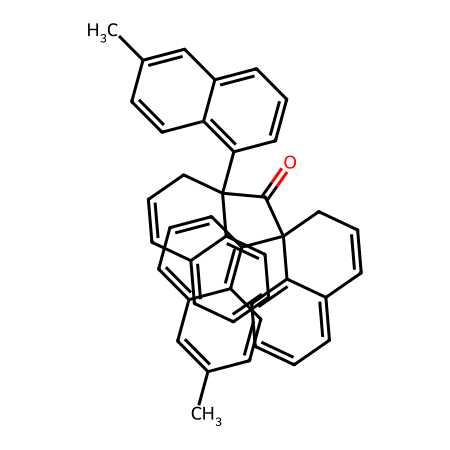 Cc1ccc2c(C3(C(=O)C4(c5cccc6cc(C)ccc56)CC=Cc5ccccc54)CC=Cc4ccccc43)cccc2c1